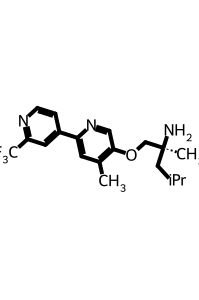 Cc1cc(-c2ccnc(C(F)(F)F)c2)ncc1OC[C@@](C)(N)CC(C)C